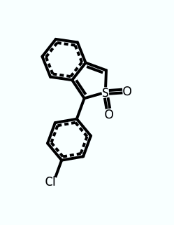 O=S1(=O)C=c2ccccc2=C1c1ccc(Cl)cc1